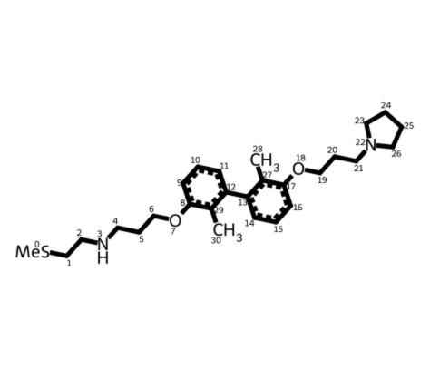 CSCCNCCCOc1cccc(-c2cccc(OCCCN3CCCC3)c2C)c1C